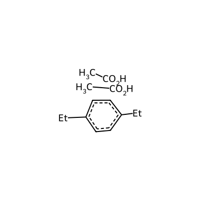 CC(=O)O.CC(=O)O.CCc1ccc(CC)cc1